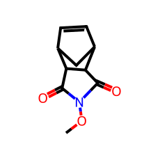 CON1C(=O)C2C3C=CC(C3)C2C1=O